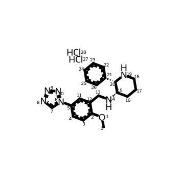 COc1ccc(-n2cnnn2)cc1CN[C@H]1CCCN[C@H]1c1ccccc1.Cl.Cl